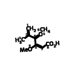 C.C=C(C)C(=O)C(=CC(=O)O)OC